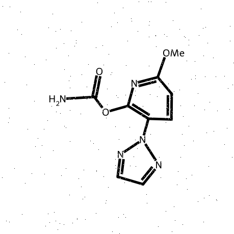 COc1ccc(-n2nccn2)c(OC(N)=O)n1